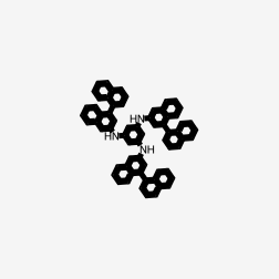 c1ccc2c(-c3cc(Nc4cc(Nc5cc(-c6cccc7ccccc67)c6ccccc6c5)cc(Nc5cc(-c6cccc7ccccc67)c6ccccc6c5)c4)cc4ccccc34)cccc2c1